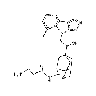 NCCC(=O)NC1C2CC3CC1CC(C(O)CC1c4c(F)cccc4-c4cncn41)(C3)C2